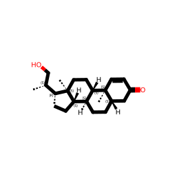 C[C@H](CO)[C@H]1CC[C@H]2[C@@H]3CC[C@H]4CC(=O)C=C[C@]4(C)[C@H]3CC[C@]12C